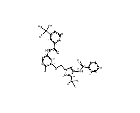 Cc1ccc(NC(=O)c2cccc(C(F)(F)F)c2)cc1CCc1cc(NC(=O)c2ccccn2)n(C(C)(C)C)n1